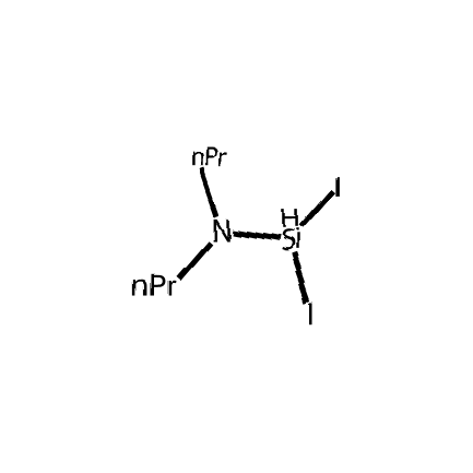 CCCN(CCC)[SiH](I)I